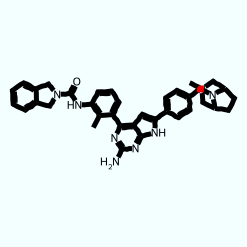 Cc1c(NC(=O)N2Cc3ccccc3C2)cccc1-c1nc(N)nc2[nH]c(-c3ccc(CN4C5CCC4CN(C)C5)cc3)cc12